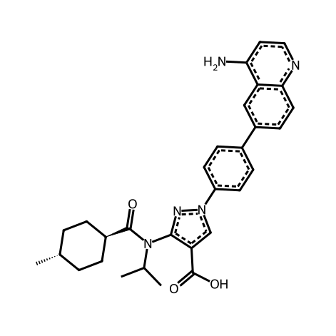 CC(C)N(c1nn(-c2ccc(-c3ccc4nccc(N)c4c3)cc2)cc1C(=O)O)C(=O)[C@H]1CC[C@H](C)CC1